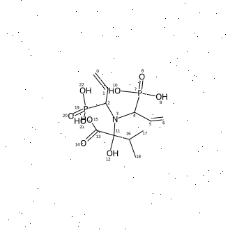 C=CC(N(C(C=C)P(=O)(O)O)C(O)(C(=O)O)C(C)C)P(=O)(O)O